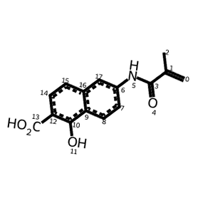 C=C(C)C(=O)Nc1ccc2c(O)c(C(=O)O)ccc2c1